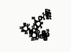 CC[N+](C)(CC)CCOc1ccc(C(C)(CC(=O)c2ccccc2)c2ccccc2)cc1C.COS(=O)(=O)O